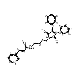 O=C(C=Cc1cccnc1)NCCCCN1C(=O)C(c2ccccc2)=C(c2ccccc2)C1=O